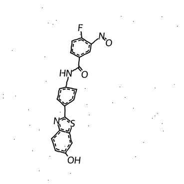 O=Nc1cc(C(=O)Nc2ccc(-c3nc4ccc(O)cc4s3)cc2)ccc1F